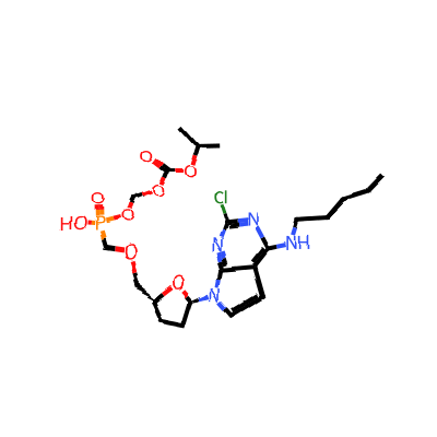 CCCCCNc1nc(Cl)nc2c1ccn2[C@H]1CC[C@@H](COCP(=O)(O)OCOC(=O)OC(C)C)O1